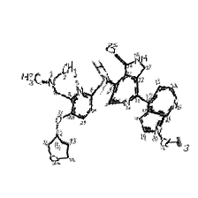 CN(C)Cc1nc(Nc2cnc(-c3ccnc4c3ccn4C)c3c2C(=O)NC3)ccc1O[C@H]1CCOC1